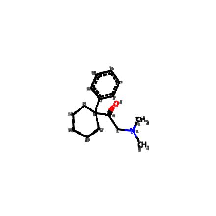 CN(C)CC(=O)C1(c2ccccc2)CCCCC1